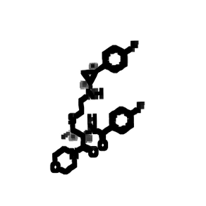 C[C@H](SCCN[C@@H]1C[C@H]1c1ccc(F)cc1)[C@H](NC(=O)c1ccc(F)cc1)C(=O)N1CCOCC1